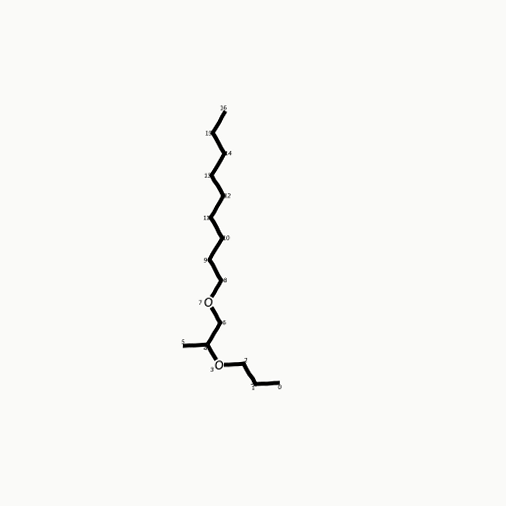 C[CH]COC(C)COCCCCCCCCC